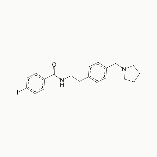 O=C(NCCc1ccc(CN2CCCC2)cc1)c1ccc(I)cc1